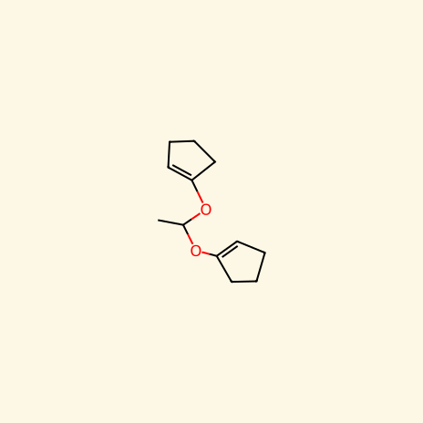 CC(OC1=CCCC1)OC1=CCCC1